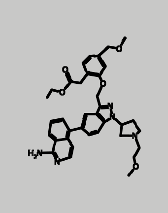 CCOC(=O)Cc1ccc(COC)cc1OCc1nn(C2CCN(CCOC)C2)c2ccc(-c3cccc4c(N)nccc34)cc12